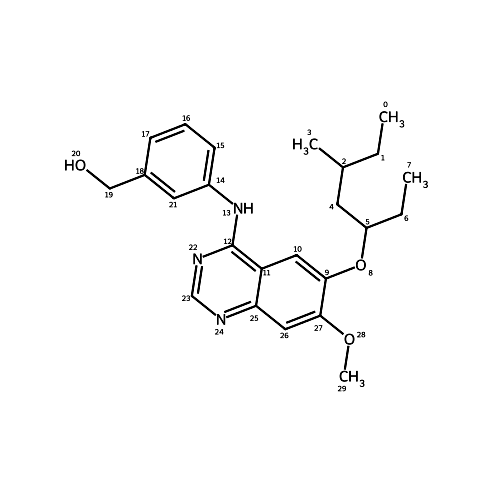 CCC(C)CC(CC)Oc1cc2c(Nc3cccc(CO)c3)ncnc2cc1OC